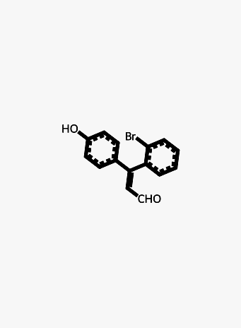 O=CC=C(c1ccc(O)cc1)c1ccccc1Br